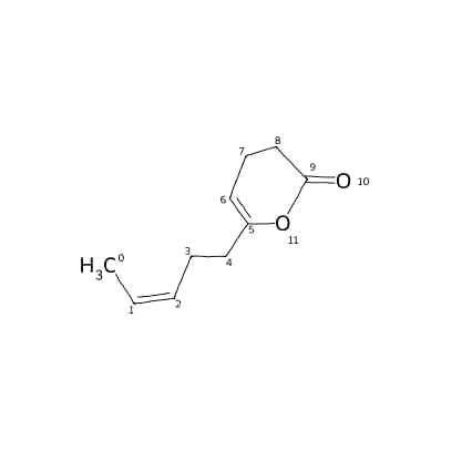 C/C=C\CCC1=CCCC(=O)O1